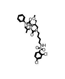 COC[C@@H](CN(CCCCNS(=O)(=O)c1ccc(Cl)cc1Cl)C(=O)NC(C)C)NC(=O)Nc1ccccc1